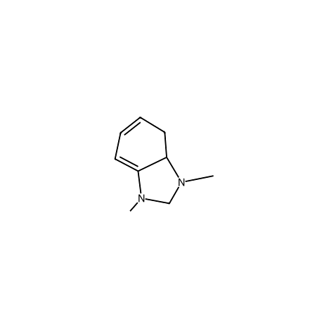 CN1CN(C)C2CC=CC=C21